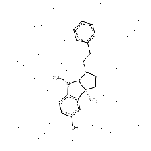 CN1c2ccc(O)cc2[C@]2(C)CCN(CCc3ccccc3)C12